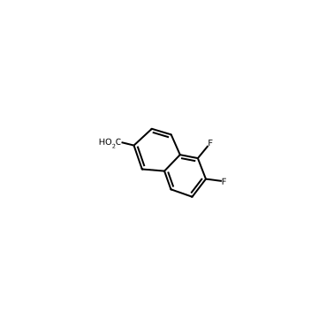 O=C(O)c1ccc2c(F)c(F)ccc2c1